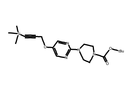 CC(C)(C)OC(=O)N1CCN(c2ncc(OCC#C[Si](C)(C)C)cn2)CC1